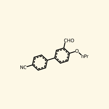 CCCOc1ccc(-c2ccc(C#N)cc2)cc1C=O